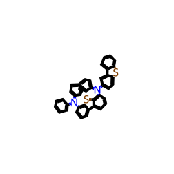 c1ccc(N(c2ccccc2)c2cccc3c2sc2c(N(c4ccccc4)c4ccc5sc6ccccc6c5c4)cccc23)cc1